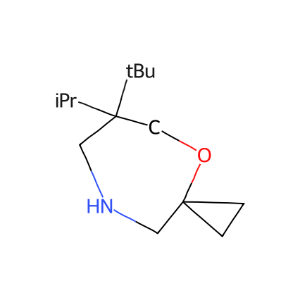 CC(C)C1(C(C)(C)C)CNCC2(CC2)OC1